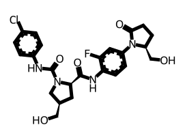 O=C(Nc1ccc(N2C(=O)CC[C@H]2CO)cc1F)[C@H]1C[C@@H](CO)CN1C(=O)Nc1ccc(Cl)cc1